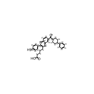 O=C(O)CCCCc1nc2cc(C(=O)N3CCC(c4ccccc4)CC3)ccc2nc1-c1ccc(S)cc1